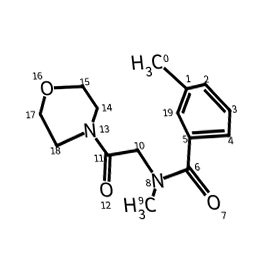 Cc1cccc(C(=O)N(C)CC(=O)N2CCOCC2)c1